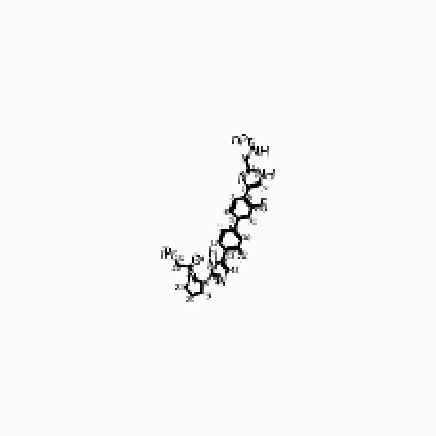 CCCNCc1nc(-c2ccc(-c3ccc(-c4cnc([C@@H]5CCCN5C(=O)CC(C)C)[nH]4)c(F)c3)cc2F)c[nH]1